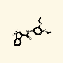 CCOc1ccc(NC(=O)C2=CS(=O)(=O)c3ccccc32)cc1OCC